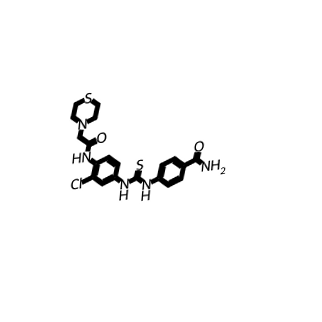 NC(=O)c1ccc(NC(=S)Nc2ccc(NC(=O)CN3CCSCC3)c(Cl)c2)cc1